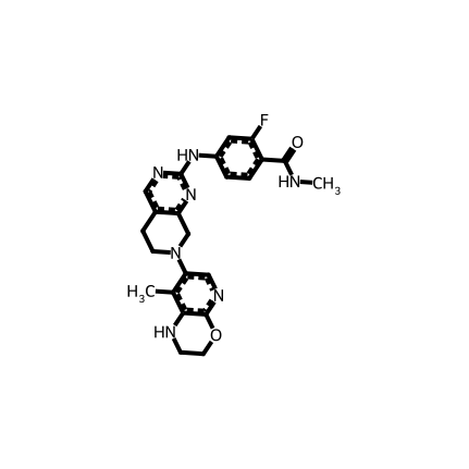 CNC(=O)c1ccc(Nc2ncc3c(n2)CN(c2cnc4c(c2C)NCCO4)CC3)cc1F